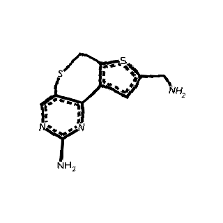 NCc1cc2c(s1)CSc1cnc(N)nc1-2